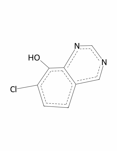 Oc1c(Cl)ccc2cncnc12